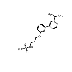 CC(C)c1cccc(-c2cccc(OCCCNS(C)(=O)=O)c2)c1